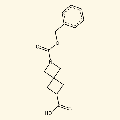 O=C(O)C1CC2(C1)CN(C(=O)OCc1ccccc1)C2